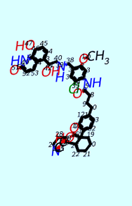 COc1cc(NC(=O)CCCc2ccc(C3(C(=O)O)CCCCC3C3CN4CCC3CC4)cc2)c(Cl)cc1CNC[C@H](O)c1ccc(O)c2[nH]c(=O)ccc12